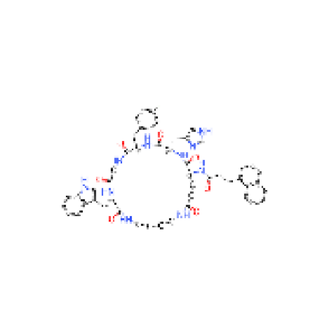 O=C1CC[C@H](NC(=O)CCc2cccc3ccccc23)C(=O)N[C@@H](Cc2c[nH]cn2)C(=O)N[C@H](Cc2ccc(F)cc2)C(=O)NCC(=O)N[C@@H](Cc2c[nH]c3ccccc23)C(=O)NCCCCN1